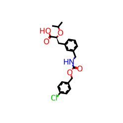 CC(C)O[C@@H](Cc1cccc(CNC(=O)OCc2ccc(Cl)cc2)c1)C(=O)O